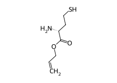 C=CCOC(=O)[C@H](N)CCS